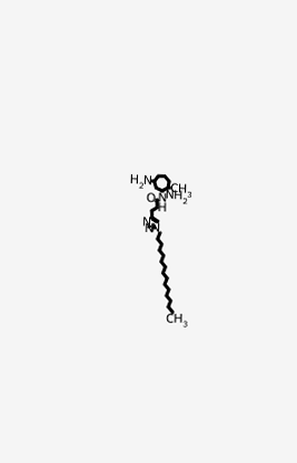 CCCCCCCCCCCCCCCCn1cc(CCC(=O)NC2CC(N)CCCC2(C)N)nn1